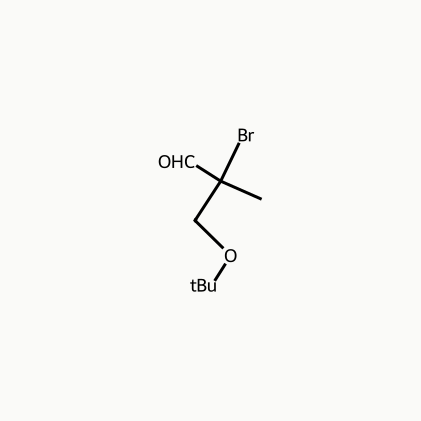 CC(Br)(C=O)COC(C)(C)C